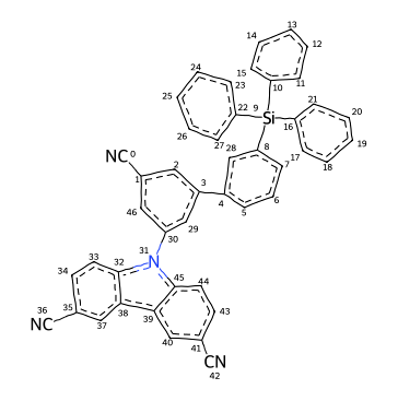 N#Cc1cc(-c2cccc([Si](c3ccccc3)(c3ccccc3)c3ccccc3)c2)cc(-n2c3ccc(C#N)cc3c3cc(C#N)ccc32)c1